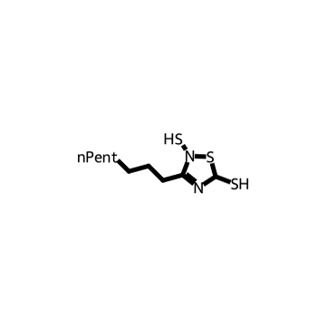 CCCCCCCCC1=NC(S)SN1S